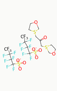 O=C(C[S+]1CCOC1)C[S+]1CCOC1.O=S(=O)([O-])C(F)(F)C(F)(F)C(F)(F)C(F)(F)F.O=S(=O)([O-])C(F)(F)C(F)(F)C(F)(F)C(F)(F)F